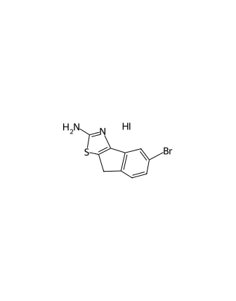 I.Nc1nc2c(s1)Cc1ccc(Br)cc1-2